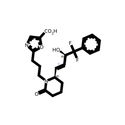 O=C(O)c1cnc(CCCN2C(=O)CCC[C@@H]2/C=C/[C@@H](O)C(F)(F)c2ccccc2)o1